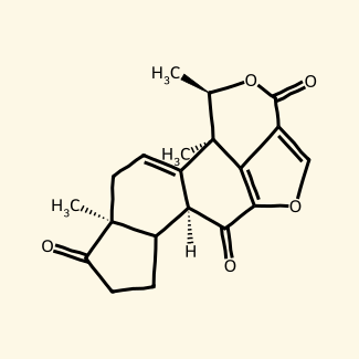 C[C@H]1OC(=O)c2coc3c2[C@@]1(C)C1=CC[C@]2(C)C(=O)CCC2[C@@H]1C3=O